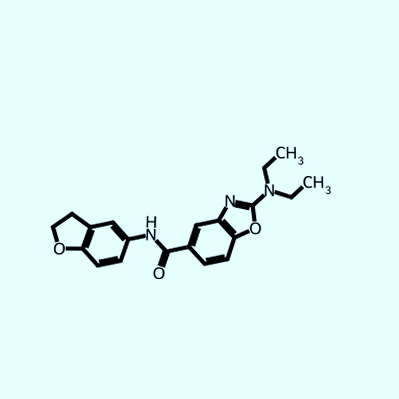 CCN(CC)c1nc2cc(C(=O)Nc3ccc4c(c3)CCO4)ccc2o1